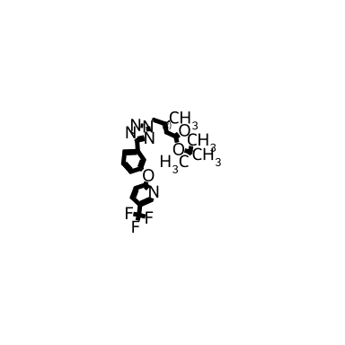 C[C@H](CC(=O)OC(C)(C)C)Cn1nnc(-c2cccc(Oc3ccc(C(F)(F)F)cn3)c2)n1